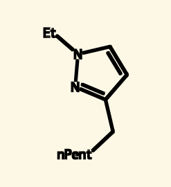 CCCCCCc1ccn(CC)n1